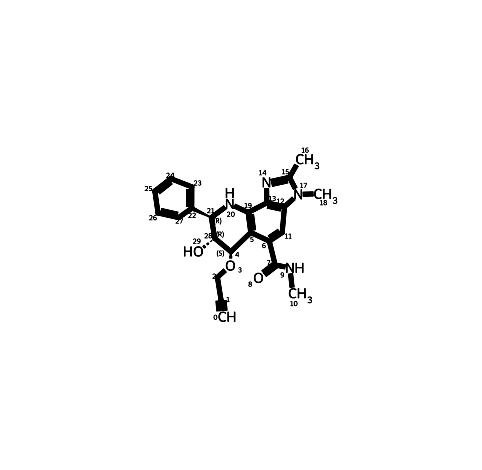 C#CCO[C@H]1c2c(C(=O)NC)cc3c(nc(C)n3C)c2N[C@H](c2ccccc2)[C@H]1O